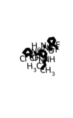 Cc1c(Cl)cccc1NC(=O)c1cc(N(N)C(=O)c2ccccc2C(F)(F)F)cc2[nH]c(CC(C)C)nc12